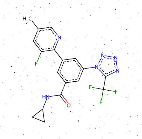 Cc1cnc(-c2cc(C(=O)NC3CC3)cc(-n3nnnc3C(F)(F)F)c2)c(F)c1